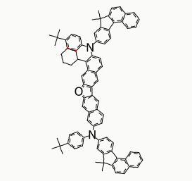 CC(C)(C)c1ccc(N(c2ccc3c(c2)C(C)(C)c2ccc4ccccc4c2-3)c2ccc3cc4c(cc3c2)oc2cc3c(C5CCCCC5)c(N(c5ccc(C(C)(C)C)cc5)c5ccc6c(c5)C(C)(C)c5ccc7ccccc7c5-6)ccc3cc24)cc1